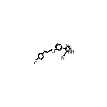 N#Cc1[nH]nnc1-c1cccc(OC/C=C/c2ccc(F)cc2)c1